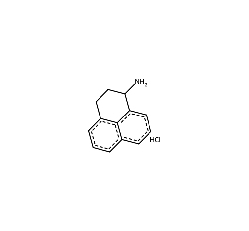 Cl.NC1CCc2cccc3cccc1c23